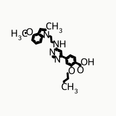 CCCCOc1cc(-c2cc(NCCn3c(C)cc4c(OC)cccc43)ncn2)ccc1C(=O)O